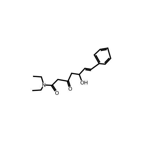 CCN(CC)C(=O)CC(=O)CC(O)C=Cc1ccccc1